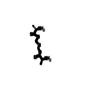 C[C@H](N)C(=O)OCOCOC(=O)[C@H](C)N